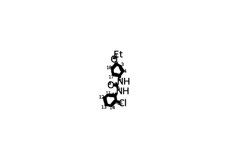 CCOc1ccc(NC(=O)Nc2ccccc2Cl)cc1